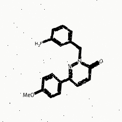 COc1ccc(-c2ccc(=O)n(Cc3cccc(P)c3)n2)cc1